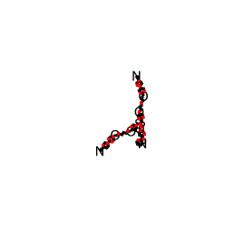 N#Cc1ccc(-c2ccc(OCCCCCCOc3ccc(SC(COc4ccc(Sc5ccccn5)cc4)Sc4ccc(OCCCCCCOc5ccc(-c6ccc(C#N)cc6)cc5)cc4)cc3)cc2)cc1